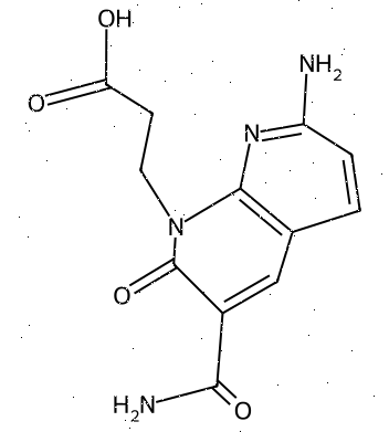 NC(=O)c1cc2ccc(N)nc2n(CCC(=O)O)c1=O